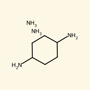 N.N.NC1CCC(N)CC1